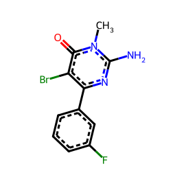 Cn1c(N)nc(-c2cccc(F)c2)c(Br)c1=O